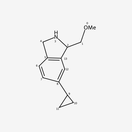 COCC1NCc2ccc(C3CC3)cc21